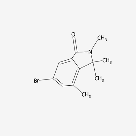 Cc1cc(Br)cc2c1C(C)(C)N(C)C2=O